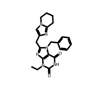 CCn1c(=O)[nH]c(=O)c2c1nc(Cc1cn3c(n1)CCCC3)n2Cc1ccccc1